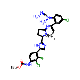 CN1/C(=N\C(=C/C=O)c2cc(Cl)ccc2N(N)/C=N\N)CCC1c1ncc(-c2ccc(NC(=O)OC(C)(C)C)c(Cl)c2F)[nH]1